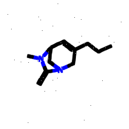 C=C1N2CC(CCC)=CC(C2)N1C